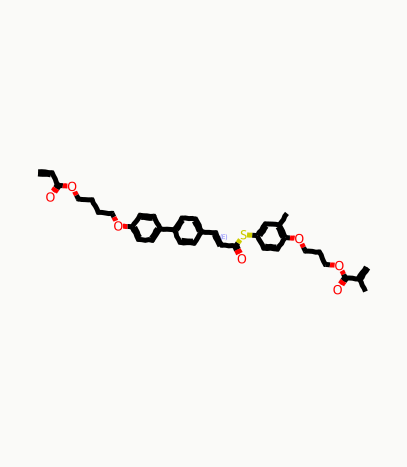 C=CC(=O)OCCCCOc1ccc(-c2ccc(/C=C/C(=O)Sc3ccc(OCCCOC(=O)C(=C)C)c(C)c3)cc2)cc1